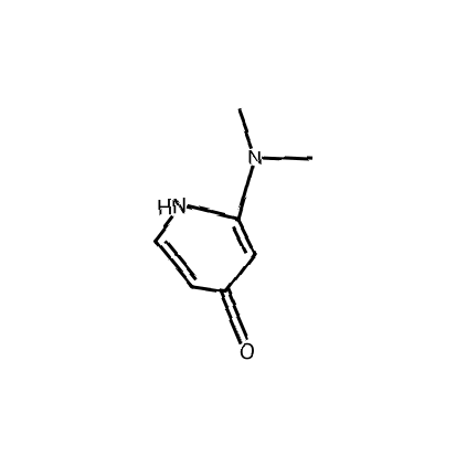 CN(C)c1cc(=O)cc[nH]1